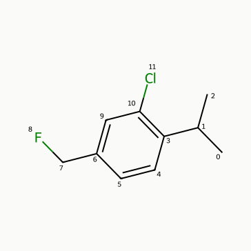 CC(C)c1ccc(CF)cc1Cl